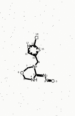 O=N/N=C1\NCOCN1Cc1cnc(Cl)s1